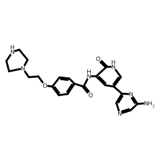 Nc1cncc(-c2c[nH]c(=O)c(NC(=O)c3ccc(OCCN4CCNCC4)cc3)c2)n1